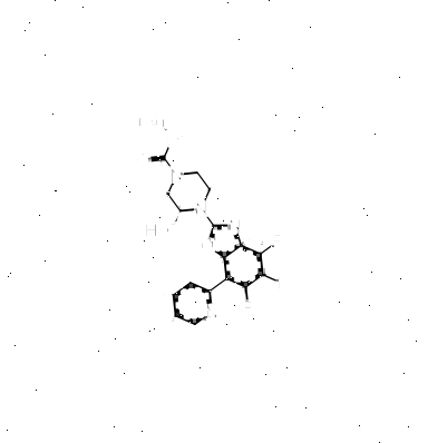 C[C@H]1CN(C(=O)OC(C)(C)C)CCN1c1nc2c(F)c(F)c(F)c(-c3ccccn3)c2o1